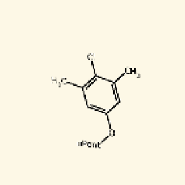 CCCCCOc1cc(C)c(Cl)c(C)c1